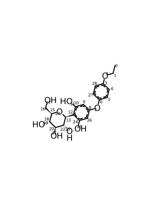 CCOc1ccc(Oc2cc(O)c([C@@H]3O[C@H](CO)[C@@H](O)[C@H](O)[C@H]3O)c(O)c2)cc1